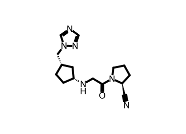 N#C[C@@H]1CCCN1C(=O)CN[C@@H]1CC[C@H](Cn2cncn2)C1